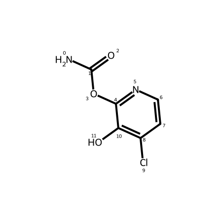 NC(=O)Oc1nccc(Cl)c1O